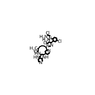 CC1CCCC(n2cnc(-c3cc(Cl)ccc3N(N)/C=C(\N)Cl)cc2=O)c2cc(ccn2)/C(Nc2cccnc2)=C(/C=N)NC1=O